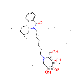 O=C(c1ccccc1)N(CCCCCCN1C[C@H](O)[C@@H](O)[C@H](O)[C@H]1CO)C1CCCCC1